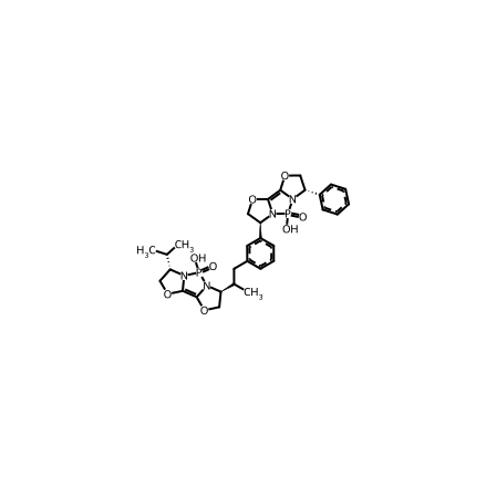 CC(C)[C@H]1COC2=C3OC[C@H](C(C)Cc4cccc([C@H]5COC6=C7OC[C@H](c8ccccc8)N7P(=O)(O)N65)c4)N3P(=O)(O)N21